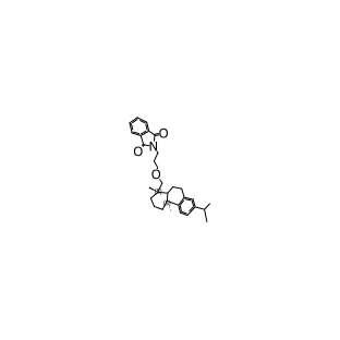 CC(C)c1ccc2c(c1)CCC1[C@@](C)(COCCCN3C(=O)c4ccccc4C3=O)CCC[C@]21C